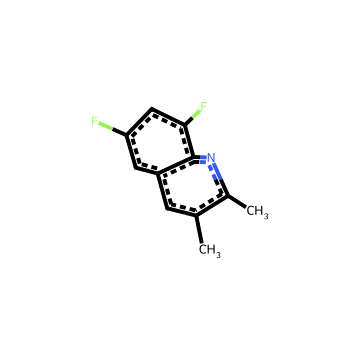 Cc1cc2cc(F)cc(F)c2nc1C